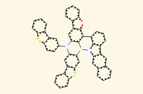 c1ccc2cc3c(cc2c1)c1cccc2c1n3B1c3cc4sc5ccccc5c4cc3N(c3ccc4sc5ccccc5c4c3)c3cc4c(oc5ccccc54)c-2c31